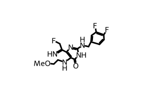 COCCNc1c(C(=N)CF)nc(NCc2ccc(F)c(F)c2)[nH]c1=O